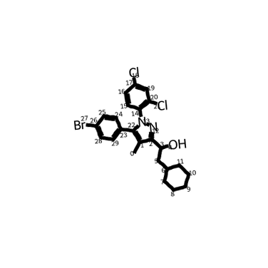 Cc1c(C(O)CC2CCCCC2)nn(-c2ccc(Cl)cc2Cl)c1-c1ccc(Br)cc1